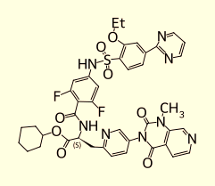 CCOc1cc(-c2ncccn2)ccc1S(=O)(=O)Nc1cc(F)c(C(=O)N[C@@H](Cc2ccc(-n3c(=O)c4ccncc4n(C)c3=O)cn2)C(=O)OC2CCCCC2)c(F)c1